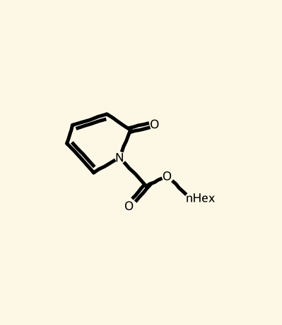 CCCCCCOC(=O)n1ccccc1=O